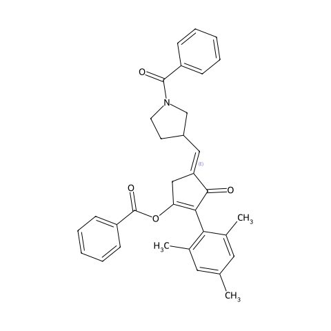 Cc1cc(C)c(C2=C(OC(=O)c3ccccc3)C/C(=C\C3CCN(C(=O)c4ccccc4)C3)C2=O)c(C)c1